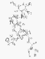 C#Cc1cc(F)c(F)c(Nc2ncnc3cc(O[C@H]4CCOC4)c(NC(=O)C=CCN(CC)CC)cc23)c1